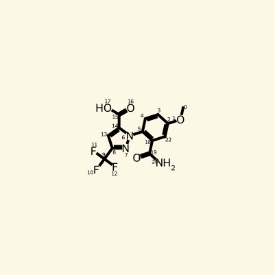 COc1ccc(-n2nc(C(F)(F)F)cc2C(=O)O)c(C(N)=O)c1